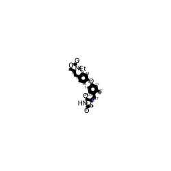 CCN1C(=O)OCC1Cc1ccc(Oc2ccc(/C=C3/SC(=O)NC3=O)c(F)c2)cc1